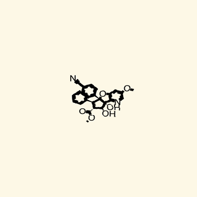 COC(=O)[C@H]1[C@@H](O)[C@@]2(O)c3ncc(OC)cc3O[C@@]2(c2ccc(C#N)cc2)[C@@H]1c1ccccc1